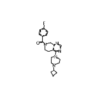 O=C(c1ccc(F)cc1)N1CCc2c(ncnc2N2CCN(C3CCC3)CC2)C1